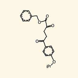 CC(C)Oc1ccc(C(=O)CCC(=O)C(=O)OCc2ccccc2)cc1